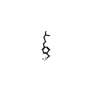 CC(C)CCCc1ccc(CN)cc1